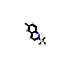 Cc1ccc2n[c]([Sn]([CH3])([CH3])[CH3])ccc2c1